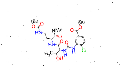 CCC(C)OC(=O)c1ccc(Cl)c(NC(=O)N[C@H](C(=O)N[C@@H](CCNC(=O)OC(C)(C)C)C(=O)NC)[C@@H](C)O)c1